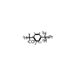 [2H]C(C)(C(=O)O)c1ccc(C([2H])([2H])C(C)C)cc1